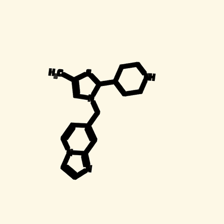 CC1=CN(Cc2ccn3ccnc3c2)C(C2CCNCC2)S1